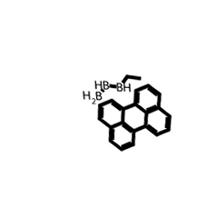 BBBCC.c1cc2cccc3c4cccc5cccc(c(c1)c23)c54